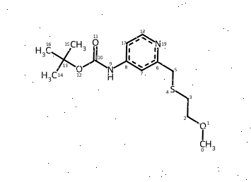 COCCSCc1cc(NC(=O)OC(C)(C)C)ccn1